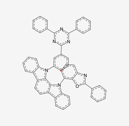 c1ccc(-c2nc(-c3ccccc3)nc(-c3cccc(-n4c5ccccc5c5ccc6c7ccccc7n(-c7cccc8nc(-c9ccccc9)oc78)c6c54)c3)n2)cc1